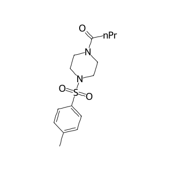 CCCC(=O)N1CCN(S(=O)(=O)c2ccc(C)cc2)CC1